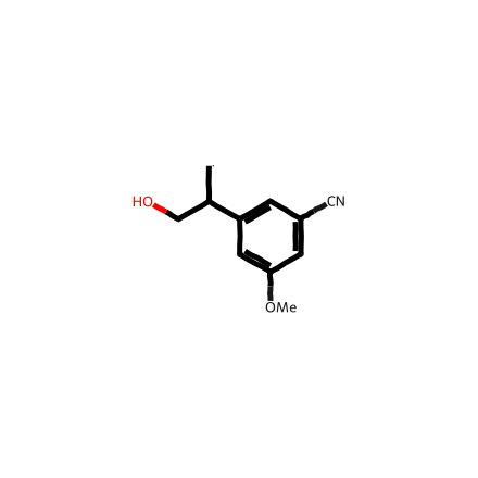 [CH2]C(CO)c1cc(C#N)cc(OC)c1